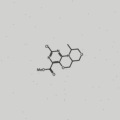 COC(=O)c1nc(Cl)nc2c1OCC1COCC(C)N21